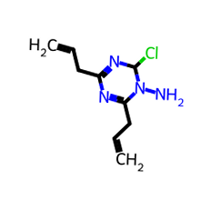 C=CCC1=NC(Cl)N(N)C(CC=C)=N1